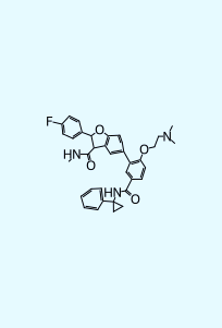 CNC(=O)C1c2cc(-c3cc(C(=O)NC4(c5ccccc5)CC4)ccc3OCCN(C)C)ccc2OC1c1ccc(F)cc1